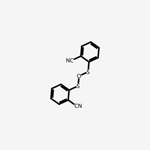 N#Cc1ccccc1SOSc1ccccc1C#N